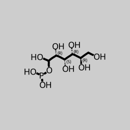 OC[C@@H](O)[C@@H](O)[C@H](O)[C@@H](O)C(O)OP(O)O